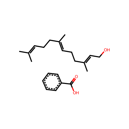 CC(C)=CCCC(C)=CCCC(C)=CCO.O=C(O)c1ccccc1